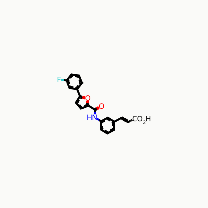 O=C(O)C=Cc1cccc(NC(=O)c2ccc(-c3cccc(F)c3)o2)c1